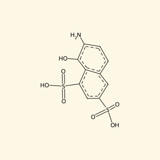 Nc1ccc2cc(S(=O)(=O)O)cc(S(=O)(=O)O)c2c1O